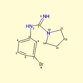 N=C(Nc1cccc(Br)c1)N1CCCC1